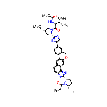 COC[C@H]1C[C@@H](c2ncc(-c3ccc4c(c3)COc3cc5c(ccc6nc([C@@H]7CC[C@H](C)N7C(=O)[CH]C(C)C)[nH]c65)cc3-4)[nH]2)N(C(=O)[C@@H](NC(=O)OC)[C@H](C)OC)C1